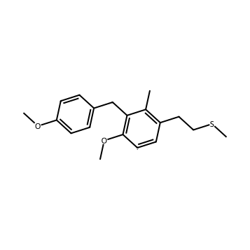 COc1ccc(Cc2c(OC)[c]cc(CCSC)c2C)cc1